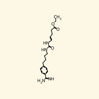 CCOC(=O)CCC=CNC(=O)NCCCCc1ccc(C(=N)N)cc1